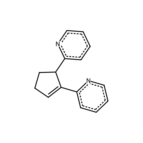 C1=C(c2ccccn2)C(c2ccccn2)CC1